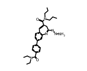 CCCN(CCC)C(=O)C1=Cc2ccc(-c3ccc(C(=O)N(CC)CC)cc3)cc2N=C(N=NN)C1